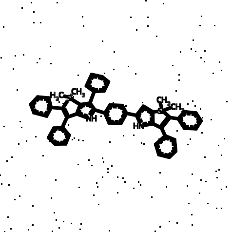 C[Si]1(C)C(c2ccccc2)=C(c2ccccc2)c2[nH]c(-c3ccc(-c4[nH]c5c(c4-c4ccccc4)[Si](C)(C)C(c4ccccc4)=C5c4ccccc4)cc3)cc21